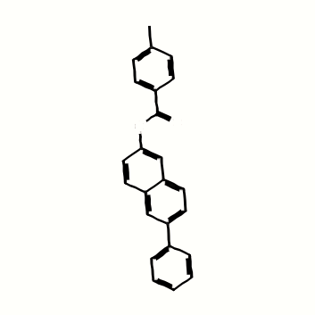 Cc1ccc(C(=O)Oc2ccc3cc(-c4ccccc4)ccc3c2)cc1